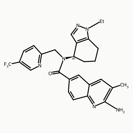 CCn1ncc2c1CCC[C@H]2N(Cc1ccc(C(F)(F)F)cn1)C(=O)c1ccc2nc(N)c(C)cc2c1